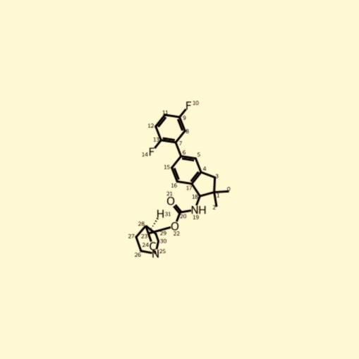 CC1(C)Cc2cc(-c3cc(F)ccc3F)ccc2C1NC(=O)O[C@H]1CN2CCC1CC2